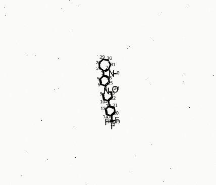 Cn1c2c(c3ccc(-n4ccc(-c5ccc(C(F)(F)F)cc5)cc4=O)cc31)CCCCC2